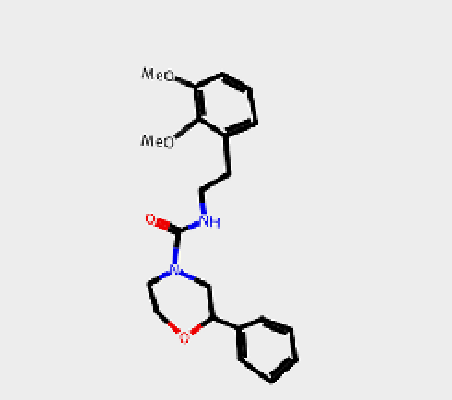 COc1cccc(CCNC(=O)N2CCOC(c3ccccc3)C2)c1OC